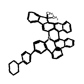 CC1(C)c2ccccc2-c2cc(N(c3ccc(-c4ccc(C5CCCCC5)cc4)cc3-c3ccccc3)c3ccc4ccccc4c3-c3cccc4ccccc34)ccc21